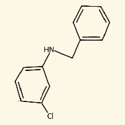 Clc1[c]ccc(NCc2ccccc2)c1